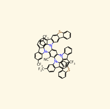 N#Cc1c(-n2c3cc(C(F)(F)F)ccc3c3ccc(C(F)(F)F)cc32)c(-n2c3ccccc3c3cc4sc5ccccc5c4cc32)cc(-n2c3ccccc3c3cc4sc5ccccc5c4cc32)c1-n1c2cc(C(F)(F)F)ccc2c2ccc(C(F)(F)F)cc21